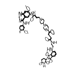 COc1cc2ncnc(Nc3ccc(F)c(Cl)c3)c2cc1NC(=O)/C=C/CN1CCC(N2CCN(C(=O)CCC(=O)NCCNc3cccc4c3C(=O)N(C3CCC(=O)NC3=O)C4=O)CC2)CC1